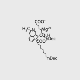 CC1=Cc2cccc3sc(C(=O)O)c(c23)C=N1.CCCCCCCCCCCCCCCCCC(=O)[O-].CCCCCCCCCCCCCCCCCC(=O)[O-].[Mg+2]